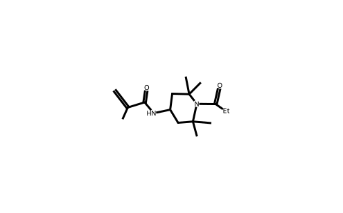 C=C(C)C(=O)NC1CC(C)(C)N(C(=O)CC)C(C)(C)C1